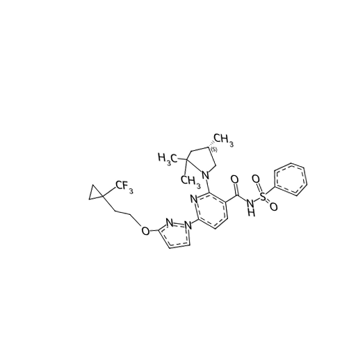 C[C@@H]1CN(c2nc(-n3ccc(OCCC4(C(F)(F)F)CC4)n3)ccc2C(=O)NS(=O)(=O)c2ccccc2)C(C)(C)C1